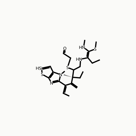 C=C(/C(=C\C)c1nc2s[siH]cc2n1C)[C@](C)(CC)C(CN/C(CC)=C(\NC)SC)SCC=O